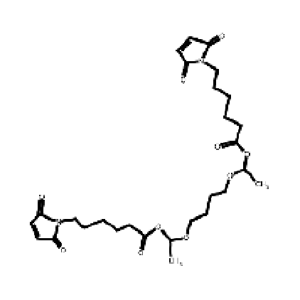 CC(OCCCCOC(C)OC(=O)CCCCCN1C(=O)C=CC1=O)OC(=O)CCCCCN1C(=O)C=CC1=O